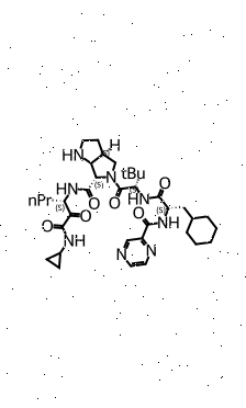 CCC[C@H](NC(=O)[C@@H]1C2NCC[C@H]2CN1C(=O)[C@@H](NC(=O)[C@H](CC1CCCCC1)NC(=O)c1cnccn1)C(C)(C)C)C(=O)C(=O)NC1CC1